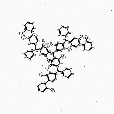 FC(F)(F)c1ccccc1-c1ccc(N(c2ccccc2)c2cc(C(F)(F)F)c(N(c3cc(C(F)(F)F)c(N(c4ccccc4)c4ccc(-c5ccccc5C(F)(F)F)c(C(F)(F)F)c4)cc3C(F)(F)F)c3cc(C(F)(F)F)c(N(c4ccccc4)c4ccc(-c5ccccc5C(F)(F)F)c(C(F)(F)F)c4)cc3C(F)(F)F)cc2C(F)(F)F)cc1C(F)(F)F